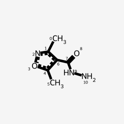 Cc1noc(C)c1C(=O)NN